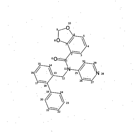 O=C(c1cccc2c1OCO2)N(Cc1ccccc1-c1ccccc1)c1ccncc1